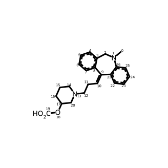 CN1Cc2ccccc2C(=CCCN2CCCC(OC(=O)O)C2)c2ccccc21